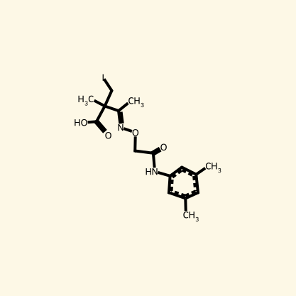 C/C(=N\OCC(=O)Nc1cc(C)cc(C)c1)C(C)(CI)C(=O)O